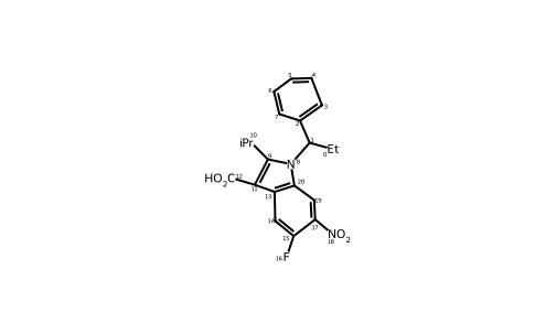 CCC(c1ccccc1)n1c(C(C)C)c(C(=O)O)c2cc(F)c([N+](=O)[O-])cc21